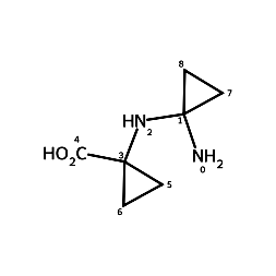 NC1(NC2(C(=O)O)CC2)CC1